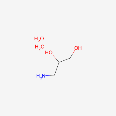 NCC(O)CO.O.O